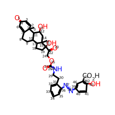 CC12C=CC(=O)C=C1CCC1C2C(O)CC2(C)C1CCC2(O)C(=O)COC(=O)NCCc1ccccc1/N=N/c1ccc(O)c(C(=O)O)c1